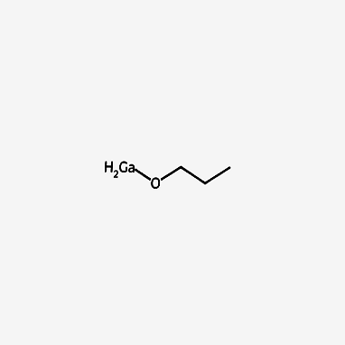 CCC[O][GaH2]